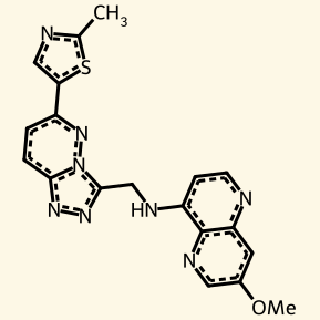 COc1cnc2c(NCc3nnc4ccc(-c5cnc(C)s5)nn34)ccnc2c1